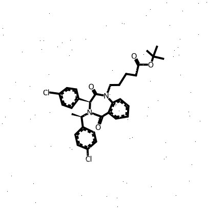 C[C@H](c1ccc(Cl)cc1)N1C(=O)c2ccccc2N(CCCCC(=O)OC(C)(C)C)C(=O)[C@@H]1c1ccc(Cl)cc1